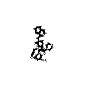 CC#CCn1c(N2CCC[C@H](N)C2)c(C(=O)N2CCOCC2)c2ncn(Cc3nccc4ccccc34)c(=O)c21